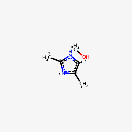 CO.Cc1c[nH]c(C)n1